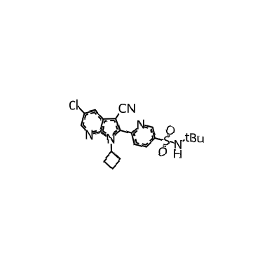 CC(C)(C)NS(=O)(=O)c1ccc(-c2c(C#N)c3cc(Cl)cnc3n2C2CCC2)nc1